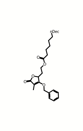 CCCCCCCCCCCCCCCC(=O)OCCC1OC(=O)C(C)=C1OCc1ccccc1